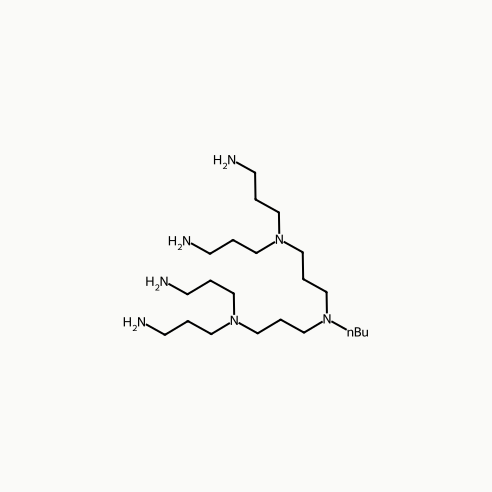 CCCCN(CCCN(CCCN)CCCN)CCCN(CCCN)CCCN